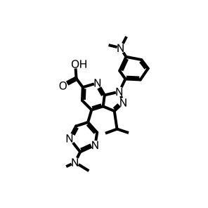 CC(C)c1nn(-c2cccc(N(C)C)c2)c2nc(C(=O)O)cc(-c3cnc(N(C)C)nc3)c12